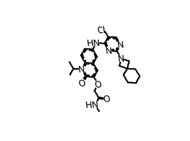 CNC(=O)COc1cc2cc(Nc3nc(N4CC5(CCCCC5)C4)ncc3Cl)ccc2n(C(C)C)c1=O